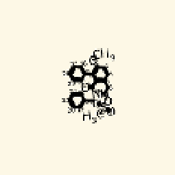 COc1ccc(CCOS(C)(=O)=O)c(C(=O)NCc2ccccc2)c1-c1ccccc1